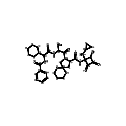 CCC1C(=O)C(=O)C1(NC(=O)C1CC2(CN1C(=O)C(NC(=O)C(NC(=O)c1cnccn1)C1CCCCC1)C(C)(C)C)SCCCS2)NC1CC1